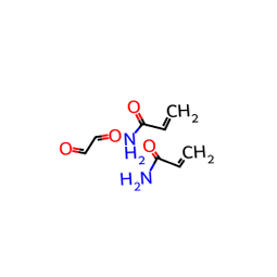 C=CC(N)=O.C=CC(N)=O.O=CC=O